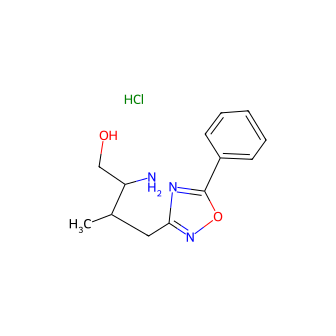 CC(Cc1noc(-c2ccccc2)n1)C(N)CO.Cl